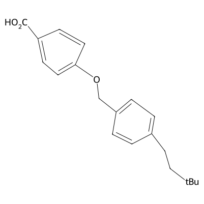 CC(C)(C)CCc1ccc(COc2ccc(C(=O)O)cc2)cc1